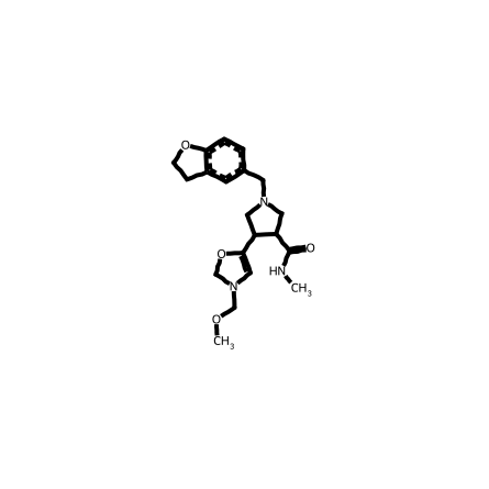 CNC(=O)C1CN(Cc2ccc3c(c2)CCO3)CC1C1=CN(COC)CO1